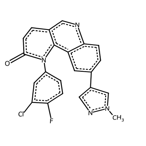 Cn1cc(-c2ccc3ncc4ccc(=O)n(-c5ccc(F)c(Cl)c5)c4c3c2)cn1